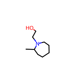 CC1CCCCCN1CCO